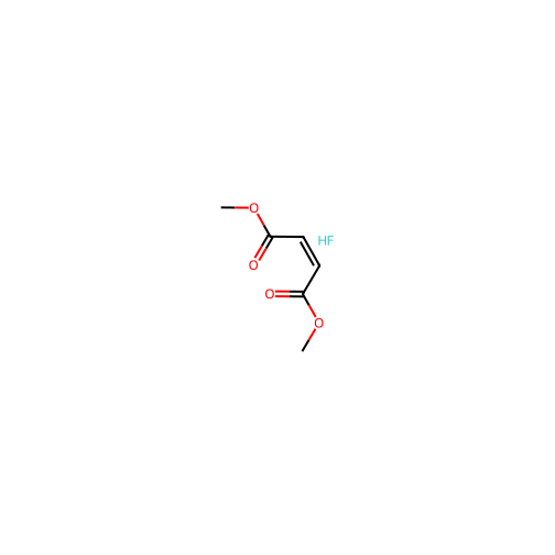 COC(=O)/C=C\C(=O)OC.F